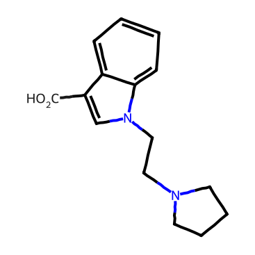 O=C(O)c1cn(CCN2CCCC2)c2ccccc12